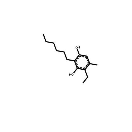 CCCCCCc1c(O)cc(C)c(CC)c1O